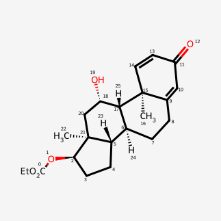 CCOC(=O)O[C@@H]1CC[C@H]2[C@@H]3CCC4=CC(=O)C=C[C@]4(C)[C@H]3[C@@H](O)C[C@]12C